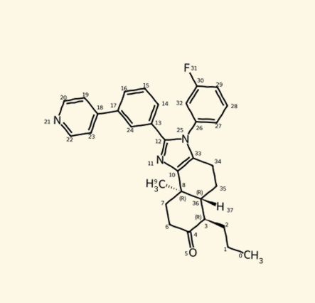 CCC[C@H]1C(=O)CC[C@@]2(C)c3nc(-c4cccc(-c5ccncc5)c4)n(-c4cccc(F)c4)c3CC[C@H]12